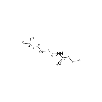 CCCC(=O)NCCSCCC(C)C